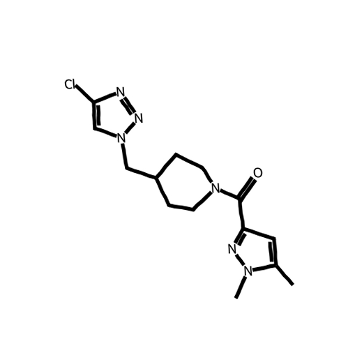 Cc1cc(C(=O)N2CCC(Cn3cc(Cl)nn3)CC2)nn1C